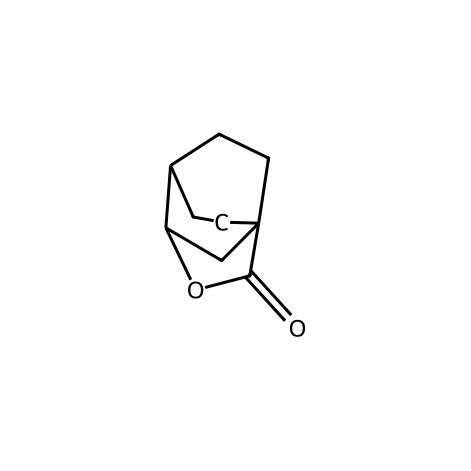 O=C1OC2CC13CCC2CC3